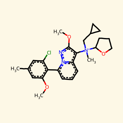 COc1cc(C)cc(Cl)c1-c1cccc2c([N+](C)(CC3CC3)C3CCCO3)c(OC)nn12